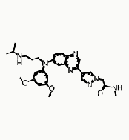 CNC(=O)Cn1cc(-c2cnc3ccc(N(CCCNC(C)C)c4cc(OC)cc(OC)c4)cc3n2)cn1